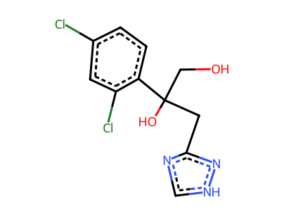 OCC(O)(Cc1nc[nH]n1)c1ccc(Cl)cc1Cl